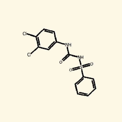 O=C(Nc1ccc(Cl)c(Cl)c1)NS(=O)(=O)c1ccccc1